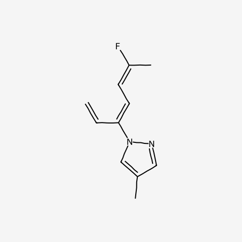 C=C/C(=C\C=C(/C)F)n1cc(C)cn1